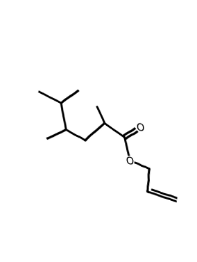 C=CCOC(=O)C(C)CC(C)C(C)C